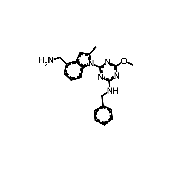 COc1nc(NCc2ccccc2)nc(-n2c(C)cc3c(CN)cccc32)n1